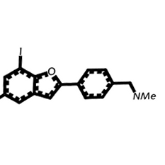 CNCc1ccc(-c2cc3cc(F)cc(I)c3o2)cc1